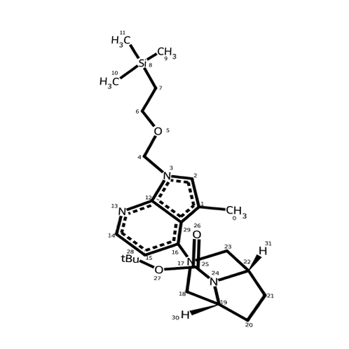 Cc1cn(COCC[Si](C)(C)C)c2nccc(N3C[C@H]4CC[C@@H](C3)N4C(=O)OC(C)(C)C)c12